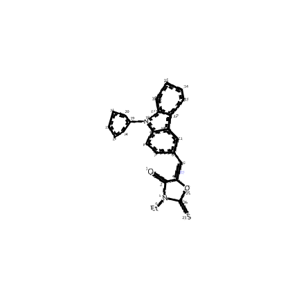 CCN1C(=O)/C(=C\c2ccc3c(c2)c2ccccc2n3-c2ccccc2)OC1=S